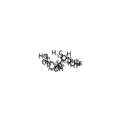 Cc1cc(Nc2nccc(C(F)(F)F)n2)cc(-c2cnc(C3(O)CCCN(C(=O)CO)CC3)s2)c1